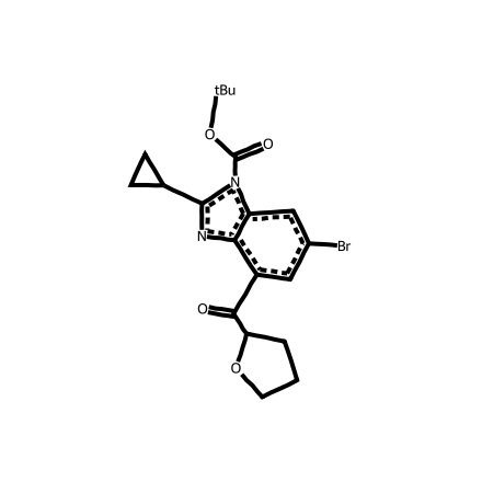 CC(C)(C)OC(=O)n1c(C2CC2)nc2c(C(=O)C3CCCO3)cc(Br)cc21